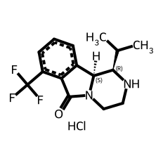 CC(C)[C@H]1NCCN2C(=O)c3c(cccc3C(F)(F)F)[C@@H]12.Cl